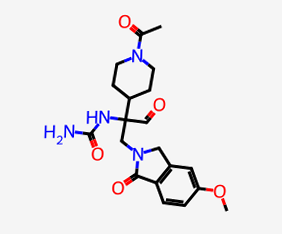 COc1ccc2c(c1)CN(CC(C=O)(NC(N)=O)C1CCN(C(C)=O)CC1)C2=O